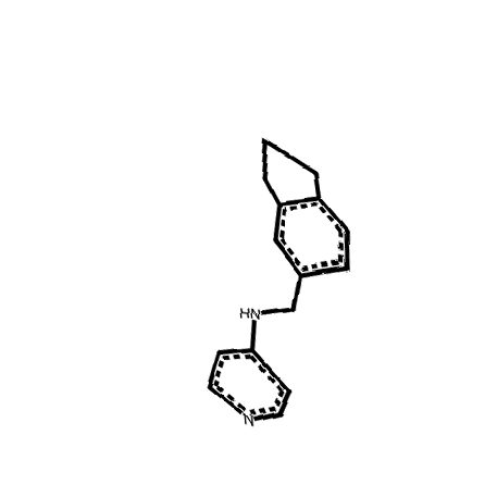 c1cc(NCc2ccc3c(c2)CCC3)ccn1